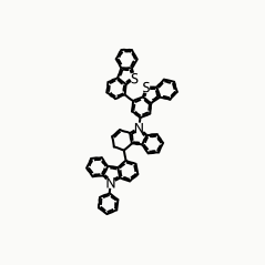 C1=Cc2c(c3ccccc3n2-c2cc(-c3cccc4c3sc3ccccc34)c3sc4ccccc4c3c2)C(c2cccc3c2c2ccccc2n3-c2ccccc2)C1